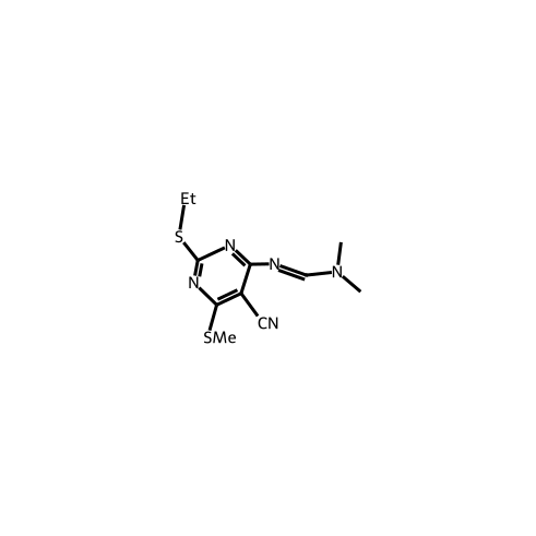 CCSc1nc(N=CN(C)C)c(C#N)c(SC)n1